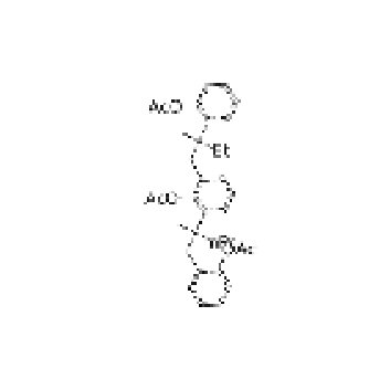 CCCC(C)(Cc1ccccc1OC(C)=O)c1cccc(CC(C)(CC)c2ccccc2OC(C)=O)c1OC(C)=O